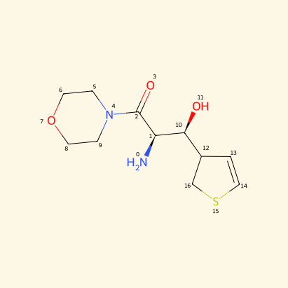 N[C@@H](C(=O)N1CCOCC1)[C@@H](O)C1C=CSC1